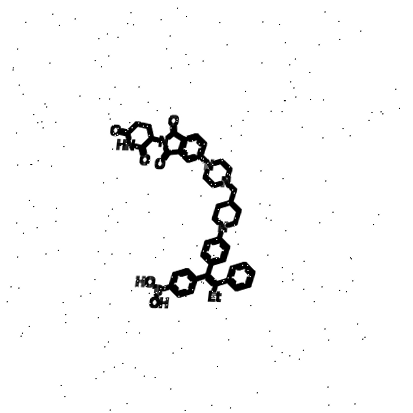 CC/C(=C(\c1ccc(B(O)O)cc1)c1ccc(N2CCC(CN3CCN(c4ccc5c(c4)C(=O)N(C4CCC(=O)NC4=O)C5=O)CC3)CC2)cc1)c1ccccc1